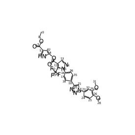 CCOC(=O)c1c[nH]c(OC(=O)c2cnn(-c3ccc(-c4cn(-c5ccc(OC)c(OC)c5)nn4)cc3)c2C(F)(F)F)c1